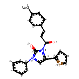 COc1ccc(C=CC(=O)n2c(-c3cccs3)cn(-c3ccccc3)c2=O)cc1